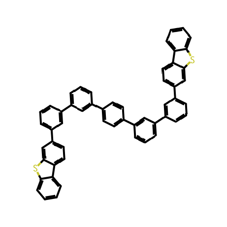 c1cc(-c2ccc(-c3cccc(-c4cccc(-c5ccc6c(c5)sc5ccccc56)c4)c3)cc2)cc(-c2cccc(-c3ccc4c(c3)sc3ccccc34)c2)c1